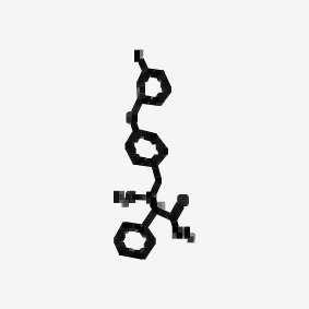 CN(Cc1ccc(Oc2cccc(F)c2)cc1)[C@@H](C(N)=O)c1ccccc1